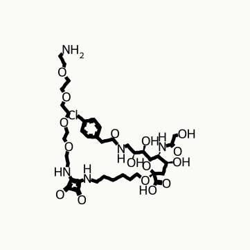 NCCOCCOCCOCCOCCNc1c(NCCCCCCO[C@]2(C(=O)O)C[C@H](O)[C@@H](NC(=O)CO)[C@H]([C@H](O)[C@H](O)CNC(=O)Cc3ccc(Cl)cc3)O2)c(=O)c1=O